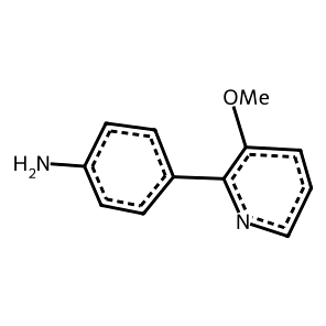 COc1cccnc1-c1ccc(N)cc1